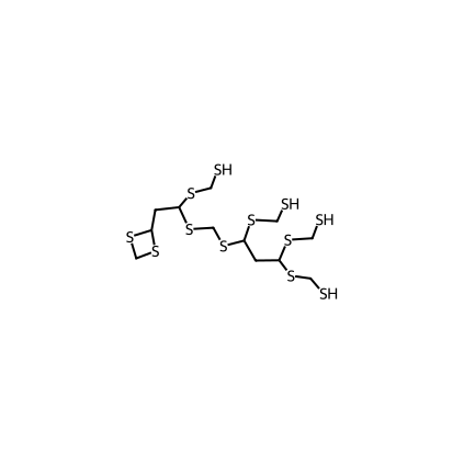 SCSC(CC(SCS)SCSC(CC1SCS1)SCS)SCS